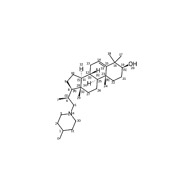 CC1CCN(C[C@@H](C)[C@H]2CC[C@H]3[C@@H]4CC=C5C(C)(C)[C@@H](O)CC[C@]5(C)[C@H]4CC[C@]23C)CC1